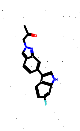 CC(=O)Cn1cc2ccc(-c3c[nH]c4cc(F)ccc34)cc2n1